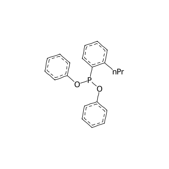 CCCc1ccccc1P(Oc1ccccc1)Oc1ccccc1